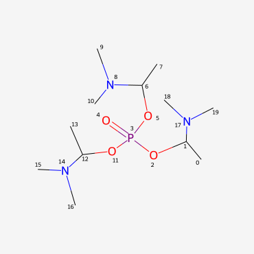 CC(OP(=O)(OC(C)N(C)C)OC(C)N(C)C)N(C)C